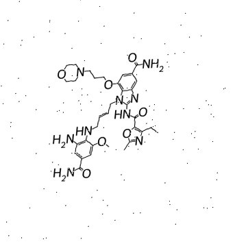 CCc1nc(C)oc1C(=O)Nc1nc2cc(C(N)=O)cc(OCCCN3CCOCC3)c2n1C/C=C/CNc1c(N)cc(C(N)=O)cc1OC